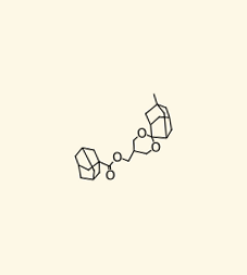 CC12CC3CC(C1)C1(OCC(COC(=O)C45CC6CC(CC(C6)C4)C5)CO1)C(C3)C2